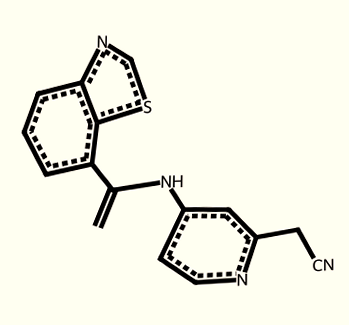 C=C(Nc1ccnc(CC#N)c1)c1cccc2ncsc12